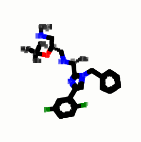 CC(C)(C)[C@@H](NC[C@@H](CNC(=O)O)O[Si](C)(C)C(C)(C)C)c1nc(-c2cc(F)ccc2F)cn1Cc1ccccc1